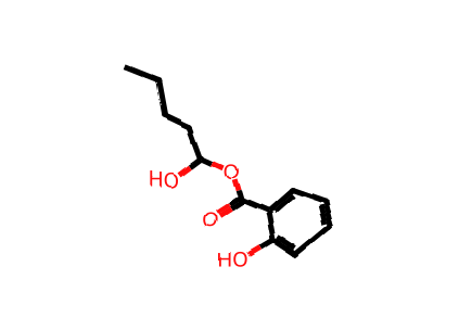 CCCCC(O)OC(=O)c1ccccc1O